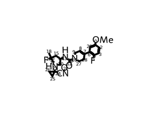 COc1ccc(F)c(C2=CCN(C(=O)NC(CC(C)(C)F)C(=O)NC3(C#N)CC3)CC2)c1